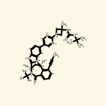 [2H]C([2H])([2H])N1C(=O)c2cccc(C#CC)c2[C@H]2C[C@@H]1c1nc3ccc(-c4cnc(N5CC(C)(NC(=O)OC(C)(C)C)C5)nc4)cc3n12